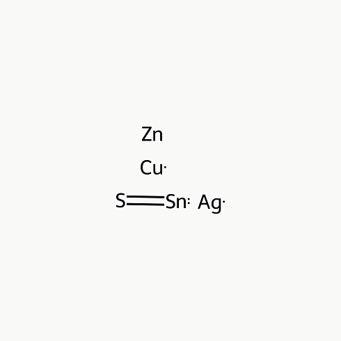 [Ag].[Cu].[S]=[Sn].[Zn]